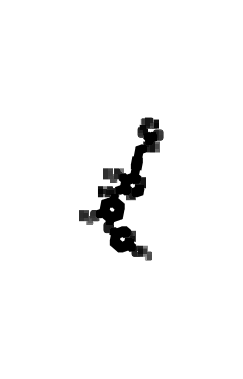 Cc1ccc(Oc2ccc([AsH]c3ncnc(C#CCNC(=O)OC(C)(C)C)c3N)cc2C)cn1